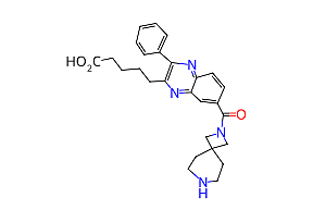 O=C(O)CCCCc1nc2cc(C(=O)N3CC4(CCNCC4)C3)ccc2nc1-c1ccccc1